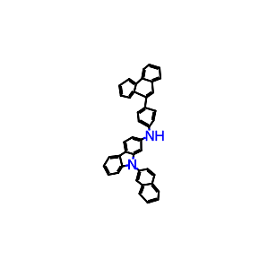 c1ccc2cc(-n3c4ccccc4c4ccc(Nc5ccc(-c6cc7ccccc7c7ccccc67)cc5)cc43)ccc2c1